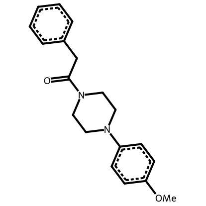 COc1ccc(N2CCN(C(=O)Cc3ccccc3)CC2)cc1